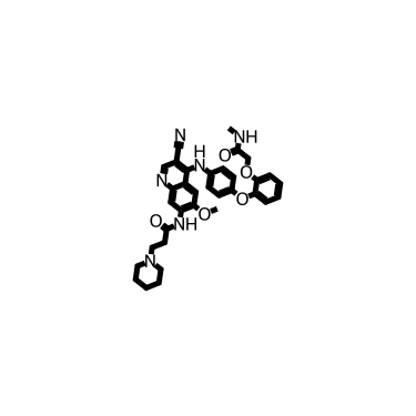 CNC(=O)COc1ccccc1Oc1ccc(Nc2c(C#N)cnc3cc(NC(=O)CCN4CCCCC4)c(OC)cc23)cc1